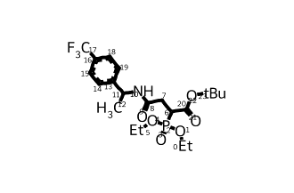 CCOP(=O)(OCC)C(CC(=O)NC(C)c1ccc(C(F)(F)F)cc1)C(=O)OC(C)(C)C